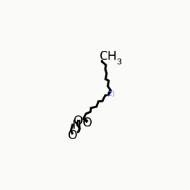 CCCCCCCC/C=C\CCCCCCCC(=O)ON1CCOCC1